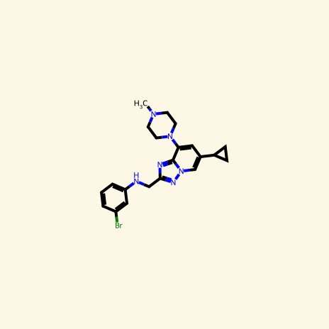 CN1CCN(c2cc(C3CC3)cn3nc(CNc4cccc(Br)c4)nc23)CC1